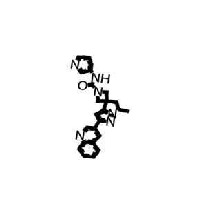 CC1CC2(CN(C(=O)Nc3cccnc3)C2)c2cc(-c3cnc4ccccc4c3)nn21